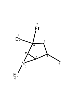 CCN1C2C(C)CC(CC)(CC)C21